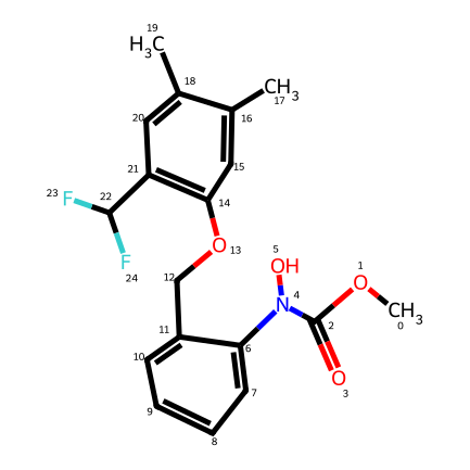 COC(=O)N(O)c1ccccc1COc1cc(C)c(C)cc1C(F)F